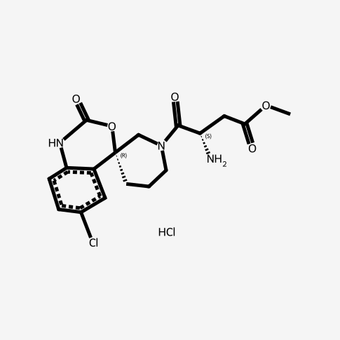 COC(=O)C[C@H](N)C(=O)N1CCC[C@@]2(C1)OC(=O)Nc1ccc(Cl)cc12.Cl